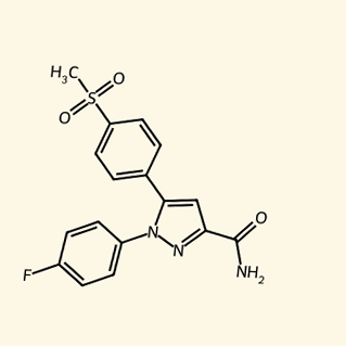 CS(=O)(=O)c1ccc(-c2cc(C(N)=O)nn2-c2ccc(F)cc2)cc1